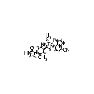 C[C@@H]1CN(c2ccc(C#N)n3ncc(F)c23)Cc2c3c(nn21)CN([C@H]1CCNC1=O)[C@@H](C)C3